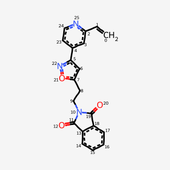 C=Cc1cc(-c2cc(CCN3C(=O)c4ccccc4C3=O)on2)ccn1